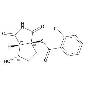 O=C(S[C@@]12CC[C@H](O)[C@@H]1C(=O)NC2=O)c1ccccc1Cl